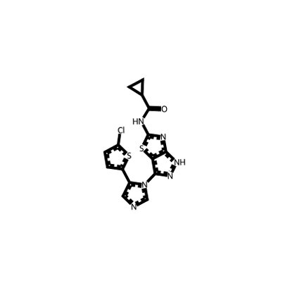 O=C(Nc1nc2[nH]nc(-n3cncc3-c3ccc(Cl)s3)c2s1)C1CC1